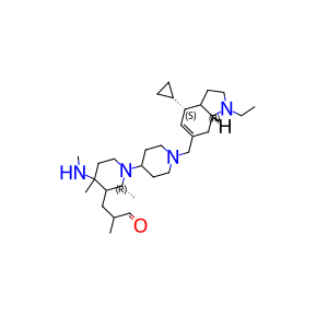 CCN1CCC2[C@@H](C3CC3)C=C(CN3CCC(N4CCC(C)(NC)C(CC(C)C=O)[C@H]4C)CC3)C[C@H]21